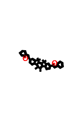 Cc1c(C)c2c(c3c1-c1ccc(-c4cc5ccccc5o4)cc1C3(C)C)C(C)(C)c1cc(-c3cc4ccccc4o3)ccc1-2